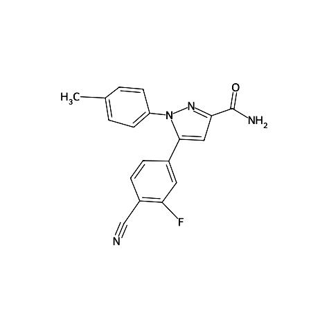 Cc1ccc(-n2nc(C(N)=O)cc2-c2ccc(C#N)c(F)c2)cc1